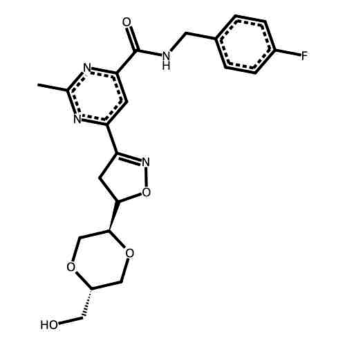 Cc1nc(C(=O)NCc2ccc(F)cc2)cc(C2=NOC([C@@H]3CO[C@@H](CO)CO3)C2)n1